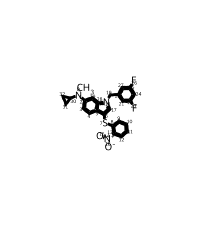 CN(c1ccc2c(Sc3ccccc3[N+](=O)[O-])cn(Cc3cc(F)cc(F)c3)c2c1)C1CC1